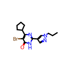 CCCn1cc(-c2nc(C3CCCC3)c(Br)c(=O)[nH]2)cn1